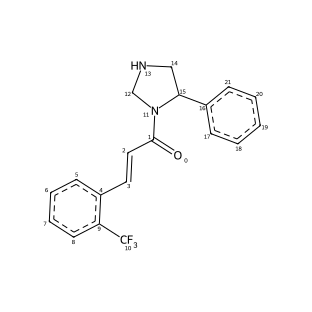 O=C(/C=C/c1ccccc1C(F)(F)F)N1CNCC1c1ccccc1